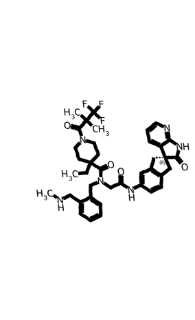 CCC1(C(=O)N(CC(=O)Nc2ccc3c(c2)C[C@@]2(C3)C(=O)Nc3ncccc32)Cc2ccccc2CNC)CCN(C(=O)C(C)(C)C(F)(F)F)CC1